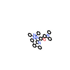 c1ccc(-c2nc(-c3ccccc3)nc(-c3cc(-c4c(-c5ccccc5)cccc4-c4ccccc4)cnc3-c3ccc4c(c3)oc3c4ccc4c3c3ccccc3n4-c3ccccc3)n2)cc1